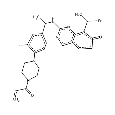 C=CC(=O)N1CCN(c2ccc(C(C)Nc3ncc4ccc(=O)n(C(C)C(C)C)c4n3)cc2F)CC1